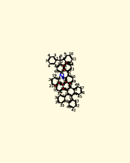 CC1(c2ccccc2)c2ccccc2-c2cc(N(c3ccccc3-c3ccc4c(c3)c(-c3ccccc3)c(-c3ccccc3)c3ccccc34)c3c(-c4ccccc4)cccc3-c3ccccc3)ccc21